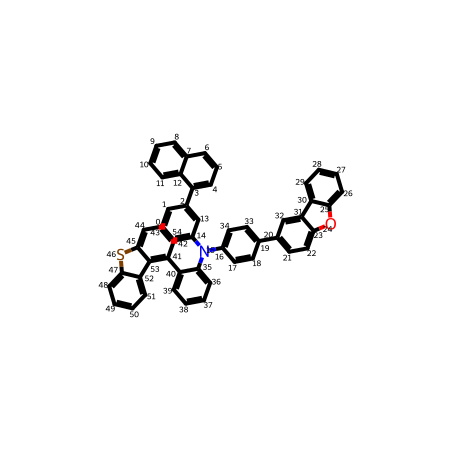 c1cc(-c2cccc3ccccc23)cc(N(c2ccc(-c3ccc4oc5ccccc5c4c3)cc2)c2ccccc2-c2cccc3sc4ccccc4c23)c1